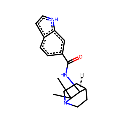 CC1(C)[C@@H](NC(=O)c2ccc3cc[nH]c3c2)C2CCN1CC2